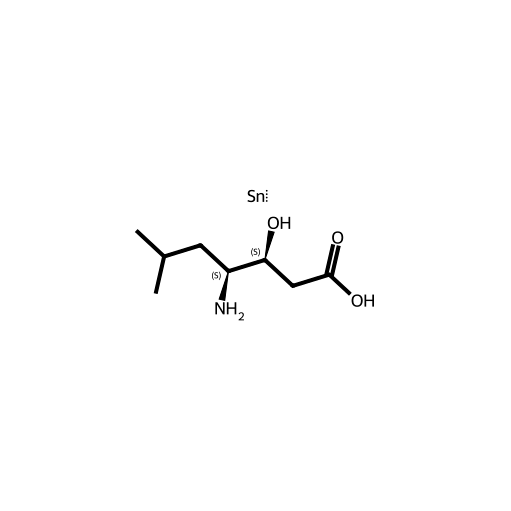 CC(C)C[C@H](N)[C@@H](O)CC(=O)O.[Sn]